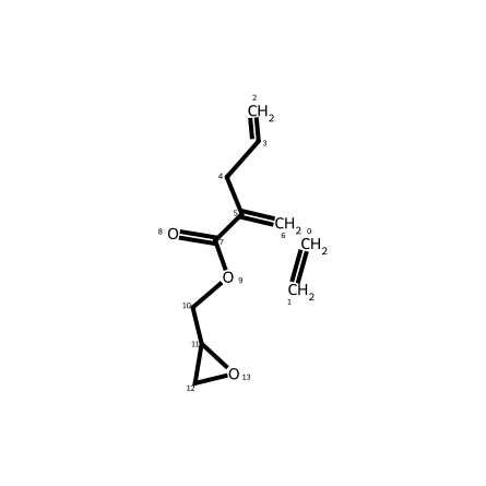 C=C.C=CCC(=C)C(=O)OCC1CO1